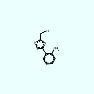 CC(C)Cc1nnc(-c2ccccc2N)s1